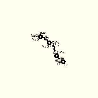 C=C(CCCOc1ccc(C2NC(=O)c3cc(Cl)ccc3N2)cc1OC)Oc1c(OC)cc(-c2cc(-c3cc(OC)c(OC)c(OC)c3)no2)cc1OC